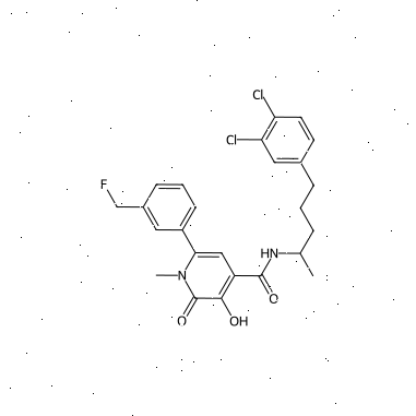 CC(CCCc1ccc(Cl)c(Cl)c1)NC(=O)c1cc(-c2cccc(CF)c2)n(C)c(=O)c1O